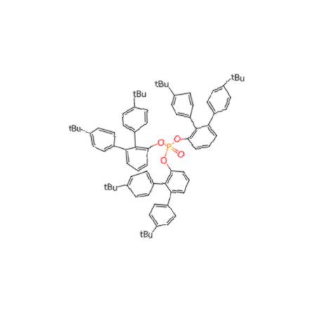 CC(C)(C)c1ccc(-c2cccc(OP(=O)(Oc3cccc(-c4ccc(C(C)(C)C)cc4)c3-c3ccc(C(C)(C)C)cc3)Oc3cccc(-c4ccc(C(C)(C)C)cc4)c3-c3ccc(C(C)(C)C)cc3)c2-c2ccc(C(C)(C)C)cc2)cc1